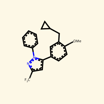 COc1ccc(-c2cc(C(F)(F)F)nn2-c2ccccc2)cc1CC1CC1